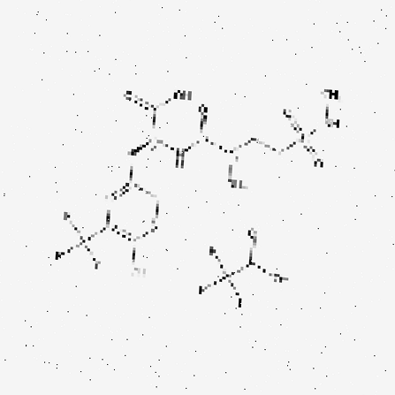 CNS(=O)(=O)CC[C@H](N)C(=O)N[C@@H](Cc1ccc(O)c(C(F)(F)F)c1)C(=O)O.O=C(O)C(F)(F)F